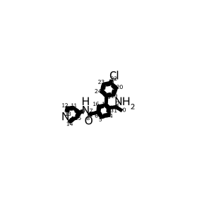 CC(N)c1ccc(C(=O)Nc2ccncc2)cc1-c1ccc(Cl)cc1